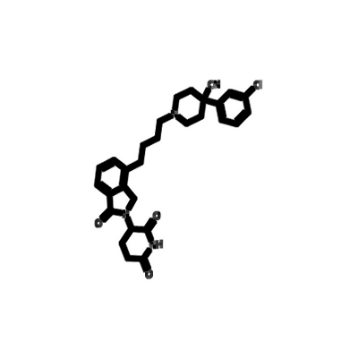 N#CC1(c2cccc(Cl)c2)CCN(CCCCc2cccc3c2CN(C2CCC(=O)NC2=O)C3=O)CC1